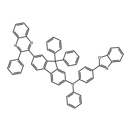 c1ccc(-c2nc3ccccc3nc2-c2ccc3c(c2)C(c2ccccc2)(c2ccccc2)c2cc(N(c4ccccc4)c4ccc(-c5nc6ccccc6o5)cc4)ccc2-3)cc1